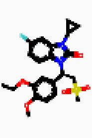 CCOc1cc([C@H](CS(C)(=O)=O)n2c(=O)n(C3CC3)c3cc(F)ccc32)ccc1OC